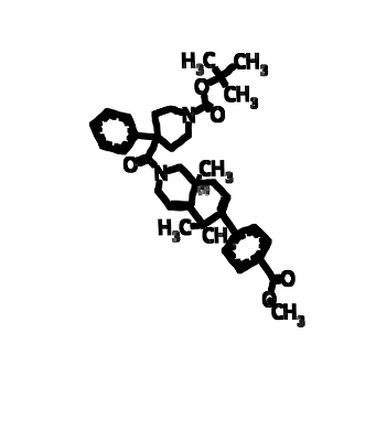 COC(=O)c1ccc(C2=CC[C@]3(C)CN(C(=O)C4(c5ccccc5)CCN(C(=O)OC(C)(C)C)CC4)CC=C3C2(C)C)cc1